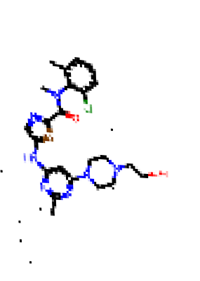 Cc1nc(Nc2cnc(C(=O)N(C)c3c(C)cccc3Cl)s2)cc(N2CCN(CCO)CC2)n1